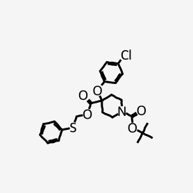 CC(C)(C)OC(=O)N1CCC(Oc2ccc(Cl)cc2)(C(=O)OCSc2ccccc2)CC1